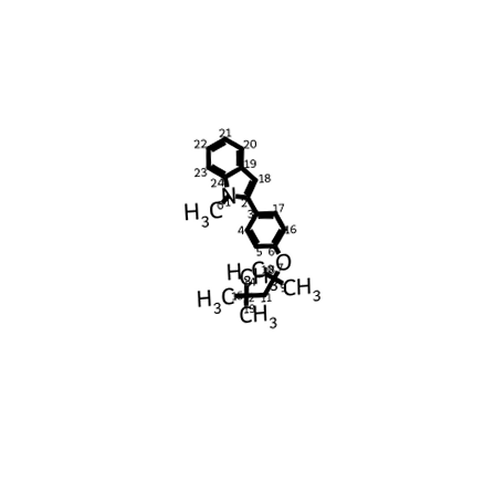 Cn1c(-c2ccc(OC(C)(C)CC(C)(C)C)cc2)cc2ccccc21